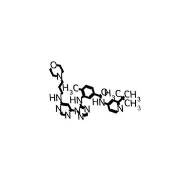 Cc1ccc(C(=O)Nc2ccnc(C(C)(C)C)c2)cc1Nc1ncnn1-c1cc(NCCCN2CCOCC2)ncn1